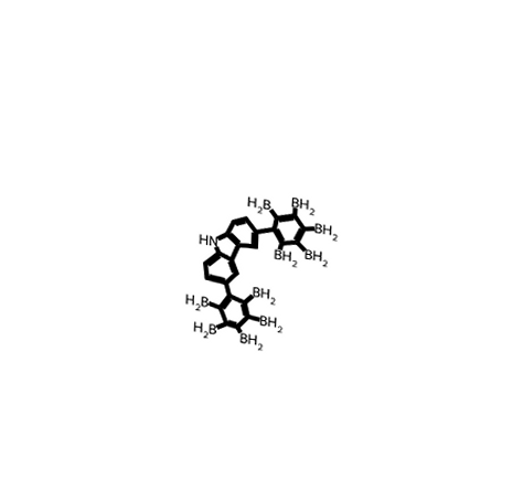 Bc1c(B)c(B)c(-c2ccc3[nH]c4ccc(-c5c(B)c(B)c(B)c(B)c5B)cc4c3c2)c(B)c1B